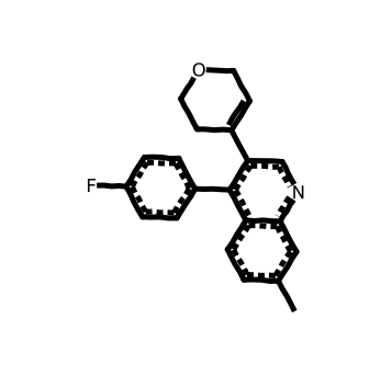 Cc1ccc2c(-c3ccc(F)cc3)c(C3=CCOCC3)cnc2c1